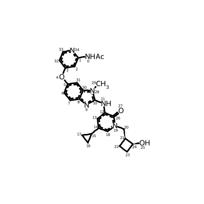 CC(=O)Nc1cc(Oc2ccc3nc(Nc4cc(C5CC5)cn(C[C@@H]5CC[C@@H]5O)c4=O)n(C)c3c2)ccn1